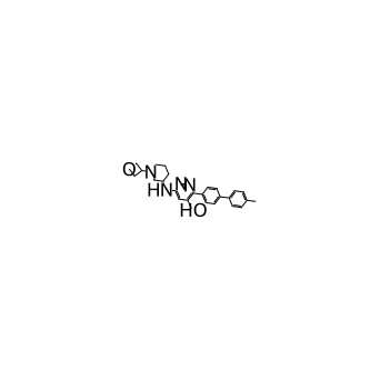 Cc1ccc(-c2ccc(-c3nnc(NC4CCCN(C5COC5)C4)cc3C)c(O)c2)cc1